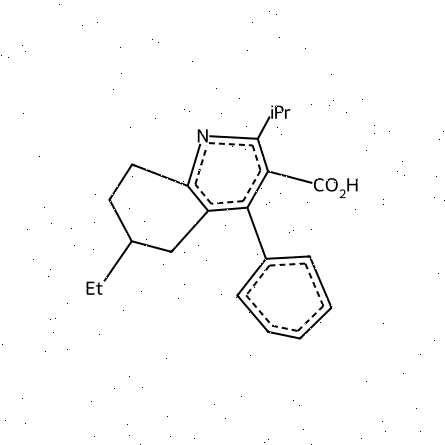 CCC1CCc2nc(C(C)C)c(C(=O)O)c(-c3ccccc3)c2C1